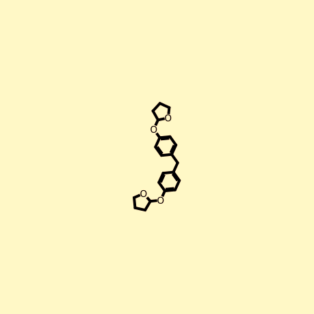 c1cc(OC2CCCO2)ccc1Cc1ccc(OC2CCCO2)cc1